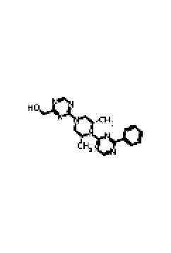 C[C@@H]1CN(c2ncnc(CO)n2)C[C@H](C)N1c1ncnc(-c2ccccc2)n1